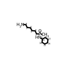 CP(=O)(CCCCCCN)NC1CCCCC1